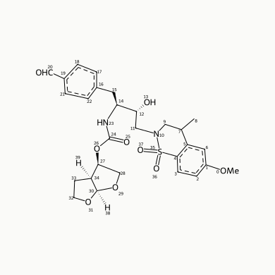 COc1ccc2c(c1)C(C)CN(C[C@@H](O)[C@H](Cc1ccc(C=O)cc1)NC(=O)O[C@H]1CO[C@H]3OCC[C@H]31)S2(=O)=O